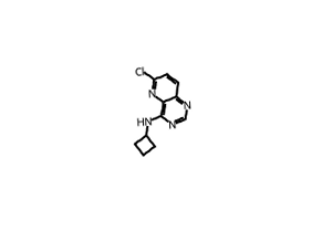 Clc1ccc2ncnc(NC3CCC3)c2n1